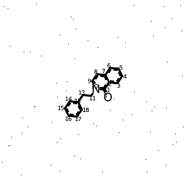 O=c1c2ccccc2ccn1CCc1ccccc1